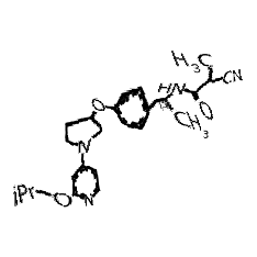 CC(C)Oc1cc(N2CCC(Oc3ccc([C@H](C)NC(=O)C(C)C#N)cc3)C2)ccn1